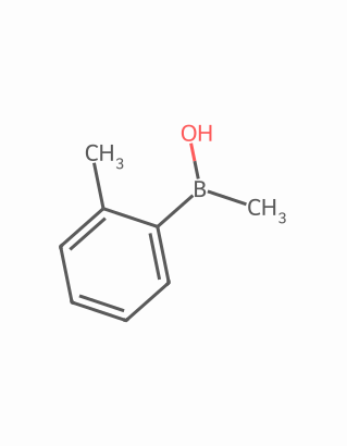 CB(O)c1ccccc1C